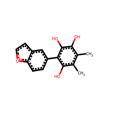 Cc1c(C)c(O)c(-c2ccc3occc3c2)c(O)c1O